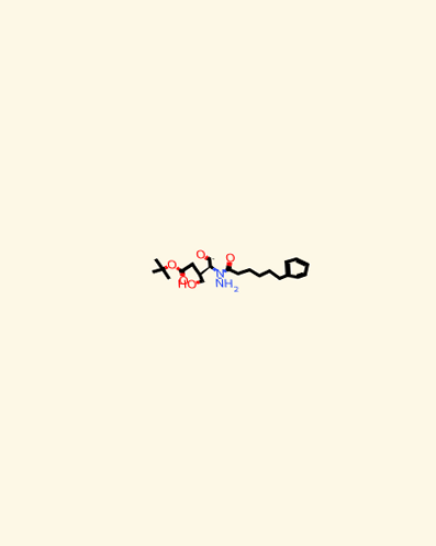 CC(C)(C)OC(=O)CC(CO)[C@@H]([C]=O)N(N)C(=O)CCCCCc1ccccc1